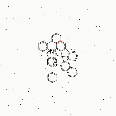 c1ccc(-c2ccc(N(c3ccccc3-c3ccccc3)c3cccc4c3C3(c5ccccc5Oc5cc6ccccc6cc53)c3ccccc3-4)cc2)cc1